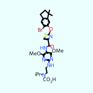 COc1nc(NCCN(C(=O)O)C(C)C)nc(OC)c1NC(=O)c1csc(Oc2cc3c(cc2Br)CCC3(C)C)n1